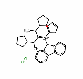 CC([C](C(C)C1CCCC1)=[Zr+2]([C]1=CC=CC1)[CH]1c2ccccc2-c2ccccc21)C1CCCC1.[Cl-].[Cl-]